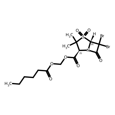 CCCCCC(=O)OCOC(=O)[C@@H]1N2C(=O)C(Br)(Br)[C@H]2S(=O)(=O)C1(C)C